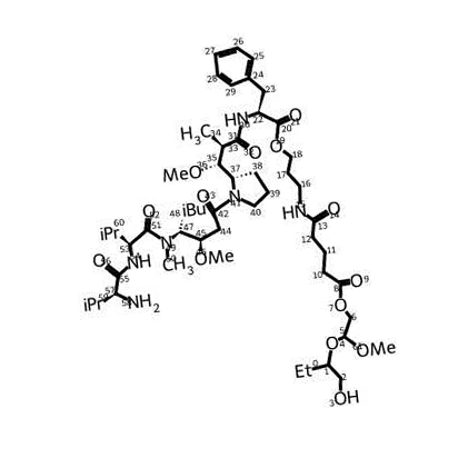 CCC(CO)OC(COC(=O)CCCC(=O)NCCCOC(=O)[C@H](Cc1ccccc1)NC(=O)[C@H](C)[C@@H](OC)[C@@H]1CCCN1C(=O)C[C@@H](OC)[C@H]([C@@H](C)CC)N(C)C(=O)[C@@H](NC(=O)[C@@H](N)C(C)C)C(C)C)OC